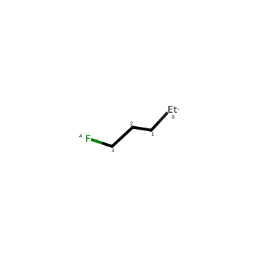 C[CH]CCCF